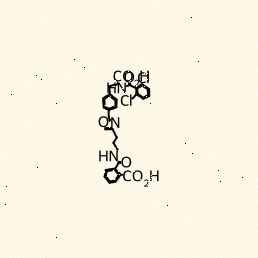 O=C(O)c1ccccc1C(=O)NCCCc1coc(-c2ccc(C[C@H](NC(=O)c3c(Cl)cccc3Cl)C(=O)O)cc2)n1